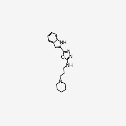 c1ccc2[nH]c(-c3nnc(NCCCN4CCCCC4)o3)cc2c1